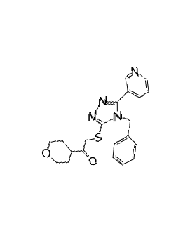 O=C(CSc1nnc(-c2cccnc2)n1Cc1ccccc1)C1CCOCC1